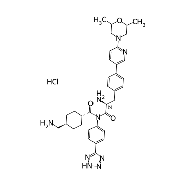 CC1CN(c2ccc(-c3ccc(C[C@H](N)C(=O)N(c4ccc(-c5nn[nH]n5)cc4)C(=O)[C@H]4CC[C@H](CN)CC4)cc3)cn2)CC(C)O1.Cl